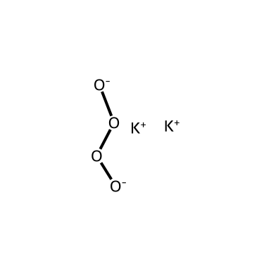 [K+].[K+].[O-]OO[O-]